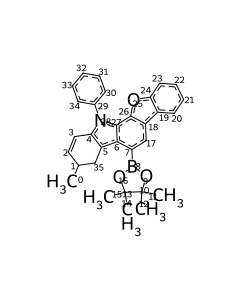 CC1C=Cc2c(c3c(B4OC(C)(C)C(C)(C)O4)cc4c5ccccc5oc4c3n2-c2ccccc2)C1